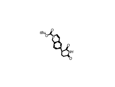 CC(C)(C)OC(=O)N1C=Cc2cc(C3CCC(=O)NC3=O)ccc2C1